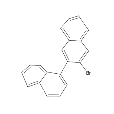 Brc1cc2ccccc2cc1-c1cccc2ccccc12